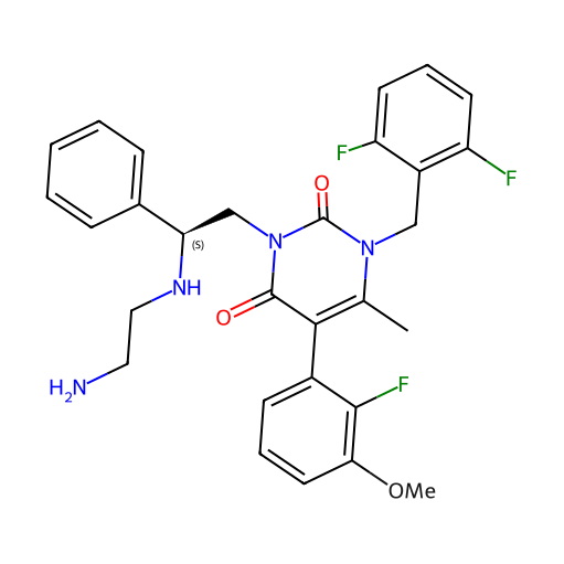 COc1cccc(-c2c(C)n(Cc3c(F)cccc3F)c(=O)n(C[C@@H](NCCN)c3ccccc3)c2=O)c1F